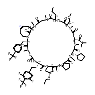 CCO[C@@H]1C[C@H]2C(=O)NC3(CCCC3)C(=O)N(C)[C@@H](C3CCCC3)C(=O)N(C)[C@H](C(=O)N(C)C)CC(=O)N(C)[C@@H]([C@@H](C)OC)C(=O)N[C@@H]([C@@H](C)CC)C(=O)N(C)CC(=O)N(C)[C@H]3C/C=C\CCN(C3=O)[C@@H](Cc3ccc(C(F)(F)F)cc3)C(=O)N(C)CC(=O)N[C@@H](CCc3cc(F)c(C(F)(F)F)c(F)c3)C(=O)N2C1